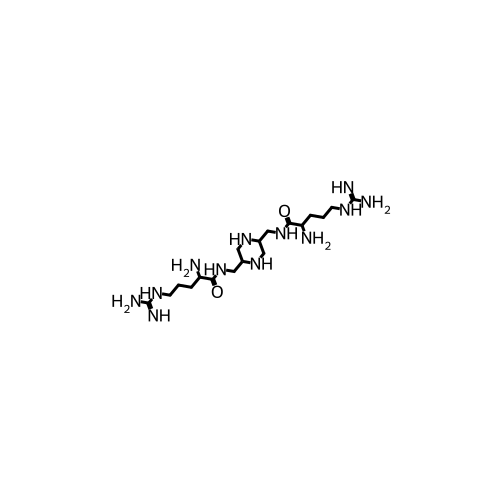 N=C(N)NCCCC(N)C(=O)NCC1CNC(CNC(=O)C(N)CCCNC(=N)N)CN1